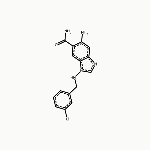 NC(=O)c1cc2c(cc1N)ncn2NCc1cccc(Cl)c1